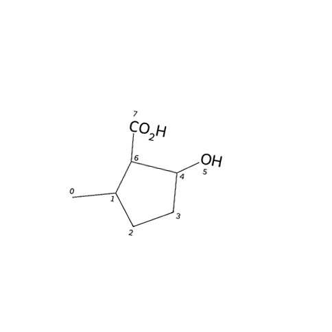 CC1CCC(O)C1C(=O)O